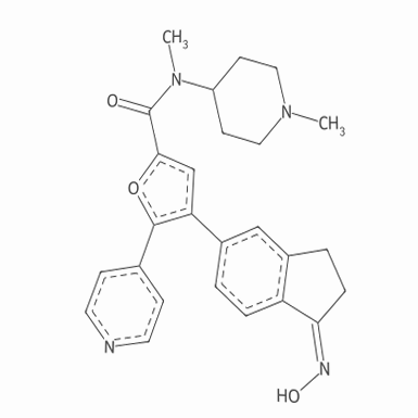 CN1CCC(N(C)C(=O)c2cc(-c3ccc4c(c3)CC/C4=N/O)c(-c3ccncc3)o2)CC1